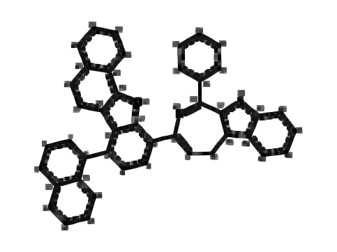 C1=C(c2ccc(-c3cccc4ccccc34)c3c2oc2c4ccccc4ccc23)N=C(c2ccccc2)c2sc3ccccc3c2C1